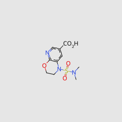 CN(C)S(=O)(=O)N1CCOc2ncc(C(=O)O)cc21